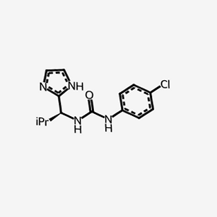 CC(C)[C@H](NC(=O)Nc1ccc(Cl)cc1)c1ncc[nH]1